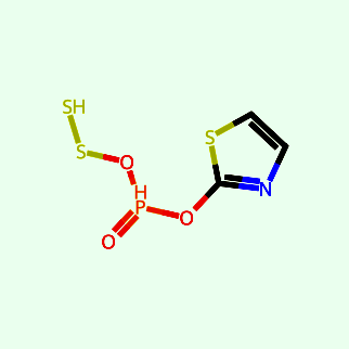 O=[PH](OSS)Oc1nccs1